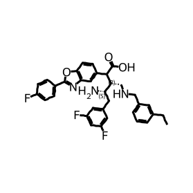 CCc1cccc(CNC[C@@H](C(C(=O)O)c2ccc3oc(-c4ccc(F)cc4)nc3c2)[C@@H](N)Cc2cc(F)cc(F)c2)c1